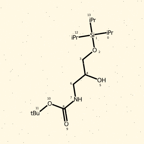 CC(C)[Si](OCC(O)CNC(=O)OC(C)(C)C)(C(C)C)C(C)C